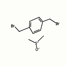 BrCc1ccc(CBr)cc1.C[S+](C)[O-]